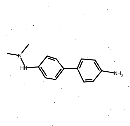 CN(C)Nc1ccc(-c2ccc(N)cc2)cc1